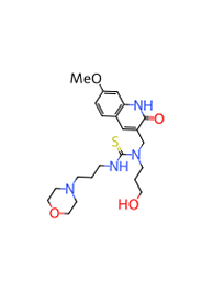 COc1ccc2cc(CN(CCCO)C(=S)NCCCN3CCOCC3)c(=O)[nH]c2c1